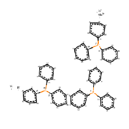 [H-].[H-].[H-].[Rh+3].c1ccc(P(c2ccccc2)c2ccccc2)cc1.c1ccc(P(c2ccccc2)c2ccccc2)cc1.c1ccc(P(c2ccccc2)c2ccccc2)cc1